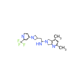 Cc1cc(C)c2c(n1)CN(C(=N)CC1CN(c3ccnc(C(F)(F)F)c3)C1)C2